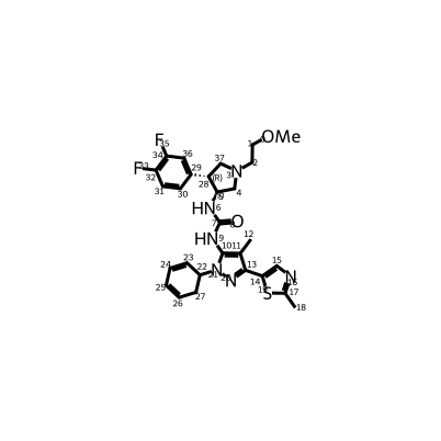 COCCN1C[C@@H](NC(=O)Nc2c(C)c(-c3cnc(C)s3)nn2C2C=CC=CC2)[C@H](c2ccc(F)c(F)c2)C1